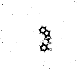 Clc1cccc(Cl)c1Nc1nc2c(s1)Cc1ccccc1-2